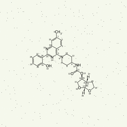 Cc1ccc2c(N3CCC(NC(=O)O[C@@H]4CO[C@H]5OCC[C@H]54)CC3)nc(-c3ccccc3O)nc2c1